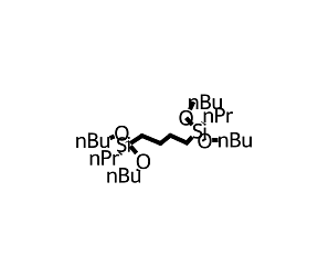 CCCCO[Si](CCC)(CCCC[Si](CCC)(OCCCC)OCCCC)OCCCC